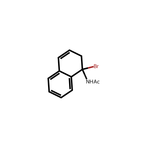 CC(=O)NC1(Br)CC=Cc2ccccc21